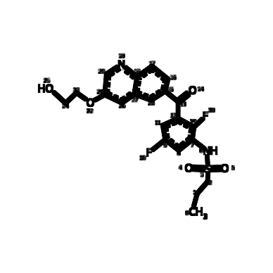 CCCS(=O)(=O)Nc1cc(F)cc(C(=O)c2ccc3ncc(OCCO)cc3c2)c1F